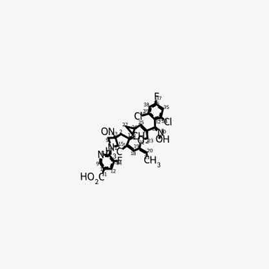 C=C(CC1(N=O)CN(c2ncc(C(=O)O)cc2F)C1)/C(C)=C\C(=C/C)OCC(=C\C1CC1)/C(=N\O)c1c(Cl)cc(F)cc1Cl